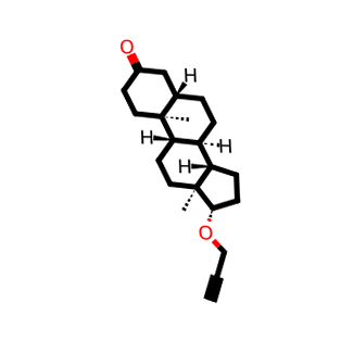 C#CCO[C@H]1CC[C@H]2[C@@H]3CC[C@H]4CC(=O)CC[C@]4(C)[C@H]3CC[C@]12C